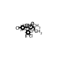 C=CC[C@@]1(C)C[C@H](c2ccc(F)c(Cl)c2)[C@@H](C(C)(C)c2ccc(Cl)cc2)NC1=O